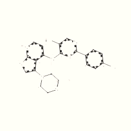 CC(C)c1cnc(-c2ccc(F)cc2)nc1Nc1ccnc2[nH]cc(N3CCN[C@@H](C)C3)c12